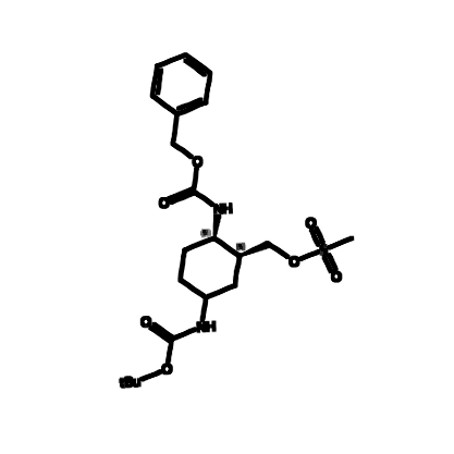 CC(C)(C)OC(=O)NC1CC[C@@H](NC(=O)OCc2ccccc2)[C@@H](COS(C)(=O)=O)C1